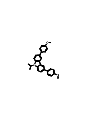 COc1ccc(-c2ccc3c(c2)c2cc(-c4ccc(OC)cc4)ccc2n3C(C)C)cc1